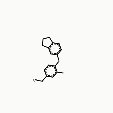 NCc1ccc(Oc2ccc3c(c2)CCC3)c(F)c1